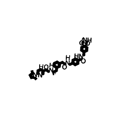 CNS(=O)(=O)c1ccc(CNC(=O)c2ccc(CNC(=O)Cc3cccc(C[C@@H](C)NC[C@H](O)c4ccc(-n5c(C)ccc5C)nc4)c3)cc2)cc1